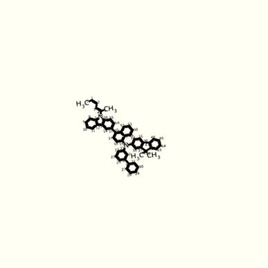 C/C=C\C=C(/C)n1c2ccccc2c2cc(-c3ccc(N(c4cccc(-c5ccccc5)c4)c4ccc5c(c4)C(C)(C)c4ccccc4-5)c4ccccc34)ccc21